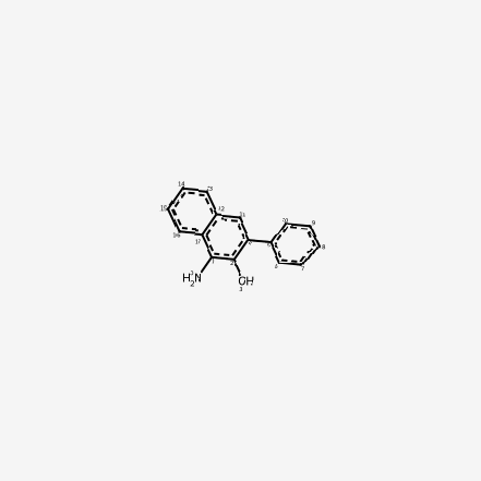 Nc1c(O)c(-c2ccccc2)cc2ccccc12